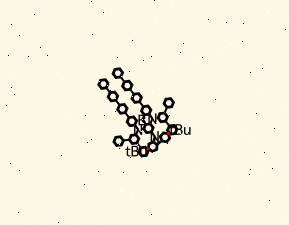 CC(C)(C)c1ccc2c3ccc(C(C)(C)C)cc3n(-c3cc4c5c(c3)N(c3cc(-c6ccccc6)cc(-c6ccccc6)c3)c3ccc(-c6ccc(-c7ccc(-c8ccccc8)cc7)cc6)cc3B5c3cc(-c5ccc(-c6ccc(-c7ccccc7)cc6)cc5)ccc3N4c3cc(-c4ccccc4)cc(-c4ccccc4)c3)c2c1